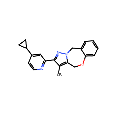 FC(F)(F)c1c(-c2cc(C3CC3)ccn2)nn2c1COc1ccccc1C2